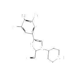 Nc1c(Br)cc(C2=CN(C3CCNCC3)C(C=O)N2)cc1Br